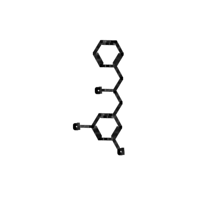 Cl[C](Cc1ccccc1)Cc1cc(Cl)cc(Cl)c1